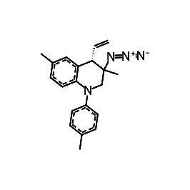 C=C[C@H]1c2cc(C)ccc2N(c2ccc(C)cc2)CC1(C)N=[N+]=[N-]